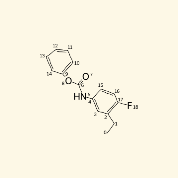 CCc1cc(NC(=O)Oc2ccccc2)ccc1F